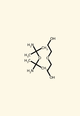 CC(C)(N)OC(C)(C)N.OCCOCCO